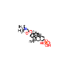 CCC[C@@H]1Cc2cc(OP(=O)(O)O)ccc2[C@H]2CC[C@]3(C)[C@@H](OC(=O)CN(C)C)CC[C@H]3[C@H]12